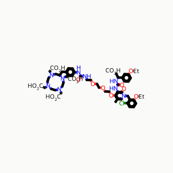 CCOc1cccc(C(CC(=O)O)NC(=O)Nc2c(OCCOCCOCCNC(=O)Nc3ccc(CC4CN(CC(=O)O)CCN(CC(=O)O)CCN(CC(=O)O)CCN4CC(=O)O)cc3)c(C)cn(Cc3c(Cl)cccc3OCC)c2=O)c1